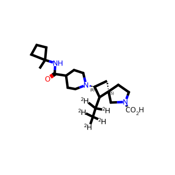 [2H]C([2H])([2H])C([2H])([2H])C1[C@H](N2CCC(C(=O)NC3(C)CCC3)CC2)C[C@@]12CCN(C(=O)O)C2